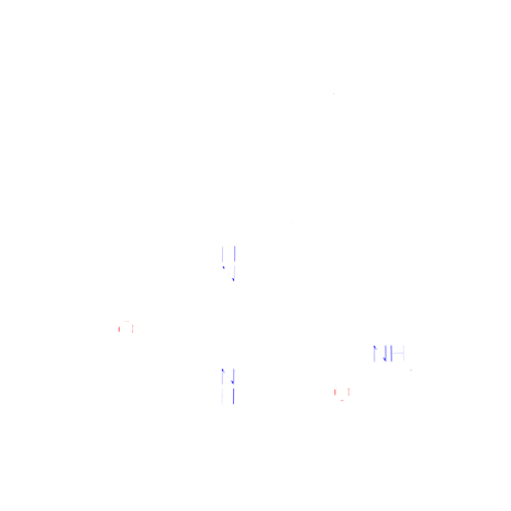 CC(C)CCC1(CN)NC(=O)NC1=O